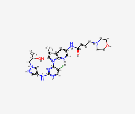 Cc1cn(-c2nc(Nc3cnn(CC(C)O)c3)ncc2F)c2ncc(NC(=O)/C=C/CN3CCOCC3)cc12